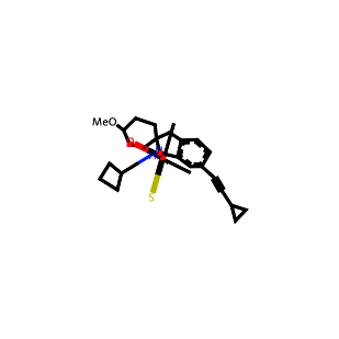 COC1CCC2(CC1)Cc1ccc(C#CC3CC3)cc1C21NC(=S)N(C2CCC2)C1=O